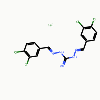 Cl.N=C(NN=Cc1ccc(Cl)c(Cl)c1)NN=Cc1ccc(Cl)c(Cl)c1